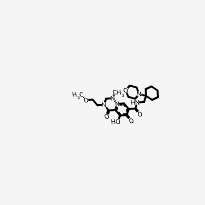 COCCN1CN(C)n2cc(C(=O)NCC3(N4CCOCC4)CCCCC3)c(=O)c(O)c2C1=O